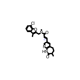 Cc1c(CN(C)C(=O)/C=C/c2cnc3c(c2)CCC(C)C(=O)N3)oc2c(Cl)cccc12